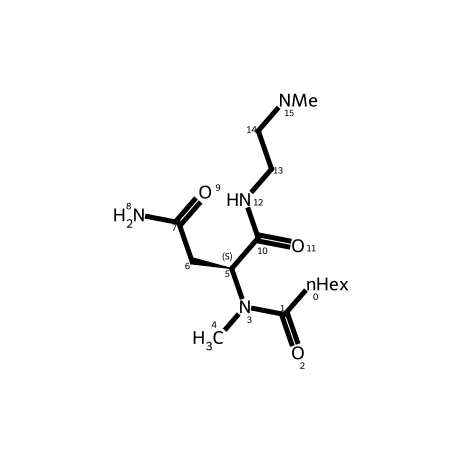 CCCCCCC(=O)N(C)[C@@H](CC(N)=O)C(=O)NCCNC